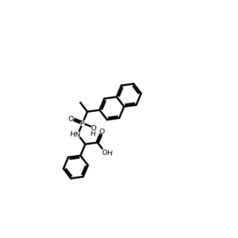 CC(c1ccc2ccccc2c1)P(=O)(O)NC(C(=O)O)c1ccccc1